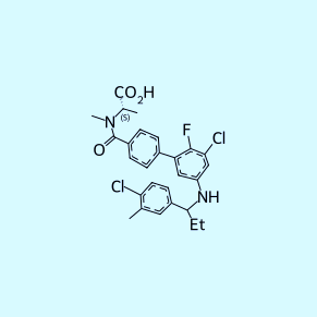 CCC(Nc1cc(Cl)c(F)c(-c2ccc(C(=O)N(C)[C@@H](C)C(=O)O)cc2)c1)c1ccc(Cl)c(C)c1